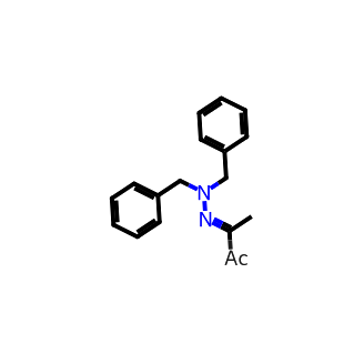 CC(=O)/C(C)=N/N(Cc1ccccc1)Cc1ccccc1